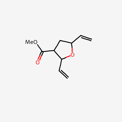 C=CC1CC(C(=O)OC)C(C=C)O1